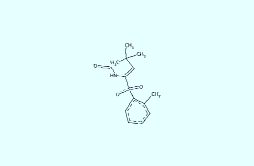 Cc1ccccc1S(=O)(=O)C(=CC(C)(C)C)NC=O